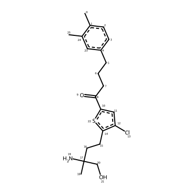 Cc1ccc(CCCC(=O)c2cc(Cl)c(CCC(C)(N)CO)s2)cc1C